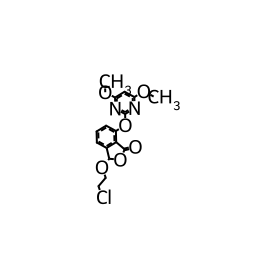 COc1cc(OC)nc(Oc2cccc3c2C(=O)OC3OCCCl)n1